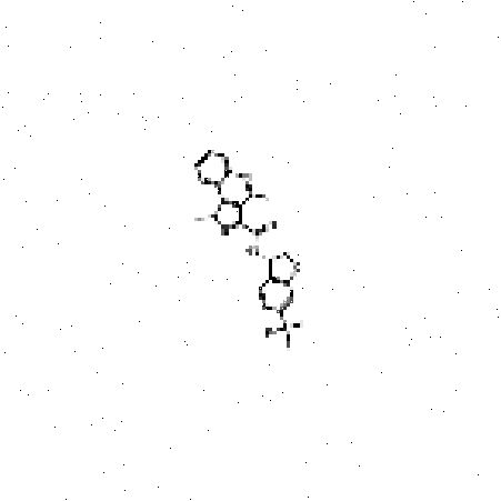 Cc1nc2ccccc2c2c1c(C(=O)N[C@@H]1COc3cc(C(F)(F)F)ccc31)nn2C